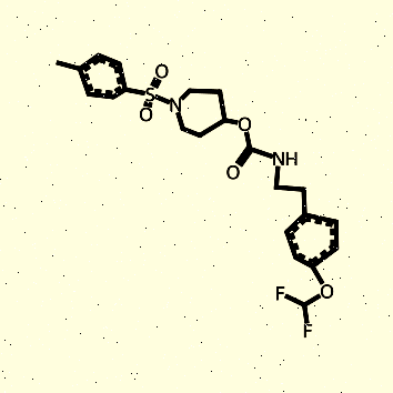 Cc1ccc(S(=O)(=O)N2CCC(OC(=O)NCCc3ccc(OC(F)F)cc3)CC2)cc1